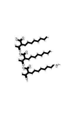 CCCCCCCCC(C(C)=O)C(=O)[O-].CCCCCCCCC(C(C)=O)C(=O)[O-].CCCCCCCCC(C(C)=O)C(=O)[O-].[Al+3]